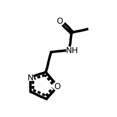 CC(=O)NCc1ncco1